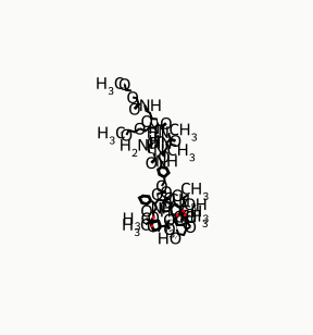 CCC(=O)[C@H](O)C1=C(C)[C@@H](OC(=O)[C@H](OC(=O)OCc2ccc(NC(=O)[C@@H](CC(N)=O)NC(=O)[C@@H](C)NC(=O)[C@@H](C)NC(=O)[C@H](CCCCNC(=O)COCCOC)NC(=O)COCCOC)cc2)C(NC(=O)OC(C)(C)C)c2ccccc2)C[C@@](O)([C@@H](OC(=O)c2ccccc2)[C@H]2C[C@@H](O)CC3OC[C@]32OC(C)=O)C1(C)C